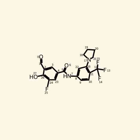 O=Cc1cc(C(=O)Nc2ccc(C(F)(F)F)c(N3CCCC3)c2)cc(F)c1O